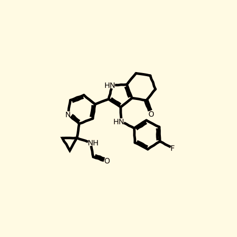 O=CNC1(c2cc(-c3[nH]c4c(c3Nc3ccc(F)cc3)C(=O)CCC4)ccn2)CC1